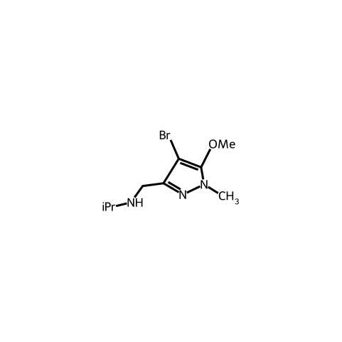 COc1c(Br)c(CNC(C)C)nn1C